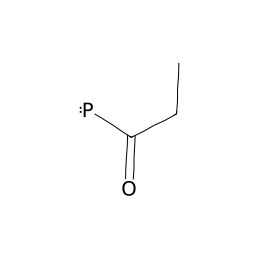 CCC(=O)[P]